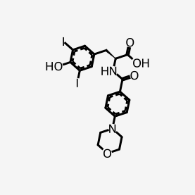 O=C(N[C@@H](Cc1cc(I)c(O)c(I)c1)C(=O)O)c1ccc(N2CCOCC2)cc1